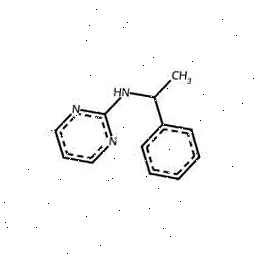 CC(Nc1n[c]ccn1)c1ccccc1